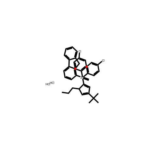 Cl.Cl.[CH2]=[Zr]([C]1=CC(C(C)(C)C)=CC1CCC)([c]1ccc(Cl)cc1)([c]1ccc(Cl)cc1)[c]1cccc2c1Cc1ccccc1-2